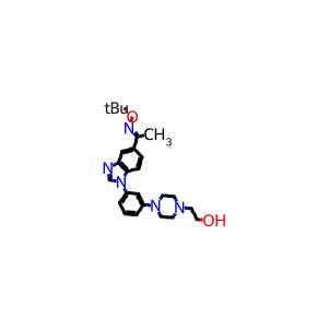 CC(=NOC(C)(C)C)c1ccc2c(c1)ncn2-c1cccc(N2CCN(CCO)CC2)c1